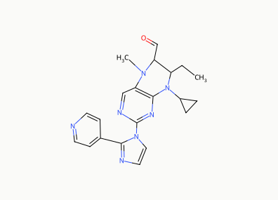 CCC1C(C=O)N(C)c2cnc(-n3ccnc3-c3ccncc3)nc2N1C1CC1